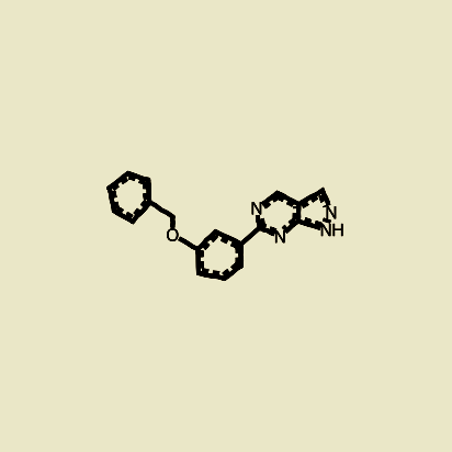 c1ccc(COc2cccc(-c3ncc4cn[nH]c4n3)c2)cc1